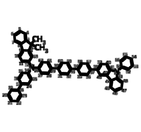 CC1(C)c2ccccc2-c2ccc(N(c3ccc(-c4ccccc4)cc3)c3ccc(-c4ccc(-c5ccc(-c6ccc7c(c6)c6ccccc6n7-c6ccccc6)cc5)cc4)cc3)cc21